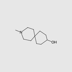 CN1CCC2(CCC(O)CC2)CC1